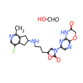 Cc1ncc(F)c2c1CC(NCCCc1cn(-c3cnc4c(n3)NC(=O)CO4)c(=O)o1)C2.O=CO